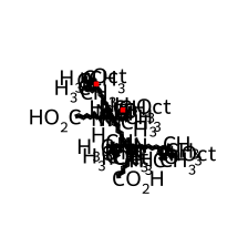 CCCCCCCCON1C(C)(C)CC(CCCCNc2nc(NCCCCCC(=O)O)nc(N(CCCCCCN(c3nc(NCCCCCC(=O)O)nc(NCCCCC4CC(C)(C)N(OCCCCCCCC)C(C)(C)C4)n3)C3CC(C)(C)N(OCCCCCCCC)C(C)(C)C3)C3CC(C)(C)N(OCCCCCCCC)C(C)(C)C3)n2)CC1(C)C